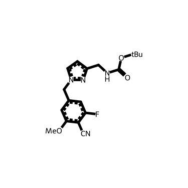 COc1cc(Cn2ccc(CNC(=O)OC(C)(C)C)n2)cc(F)c1C#N